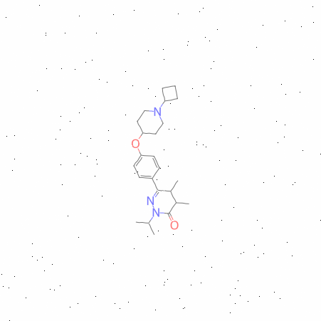 CC1C(=O)N(C(C)C)N=C(c2ccc(OC3CCN(C4CCC4)CC3)cc2)C1C